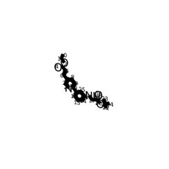 CCOC(=O)C=Cc1ccc(-c2cccc(NCC(=O)OC(C)(C)C)c2)nc1